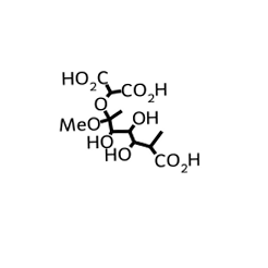 COC(C)(OC(C(=O)O)C(=O)O)C(O)C(O)C(O)C(C)C(=O)O